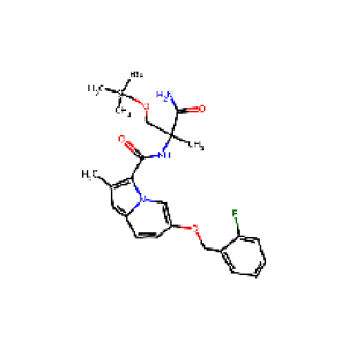 Cc1cc2ccc(OCc3ccccc3F)cn2c1C(=O)NC(C)(CO[Si](C)(C)C(C)(C)C)C(N)=O